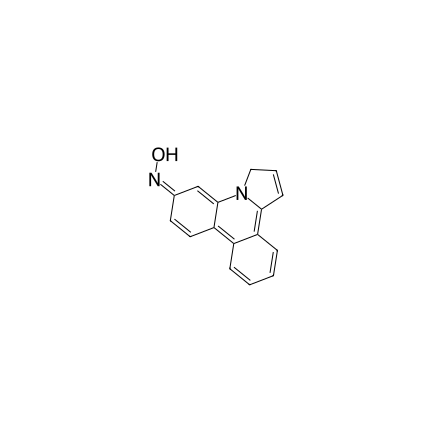 ON=c1ccc2c3ccccc3c3n(c-2c1)CC=C3